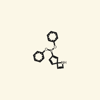 C1=CC2(C=CC(B(Oc3ccccc3)Oc3ccccc3)=C2)N1